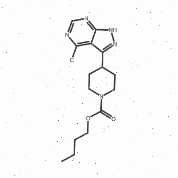 CCCCOC(=O)N1CCC(c2n[nH]c3ncnc(Cl)c23)CC1